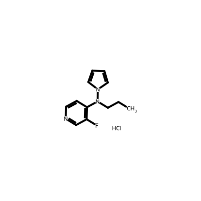 CCCN(c1ccncc1F)n1cccc1.Cl